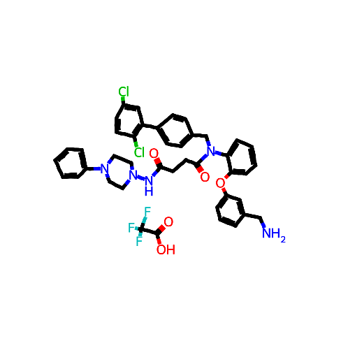 NCc1cccc(Oc2ccccc2N(Cc2ccc(-c3cc(Cl)ccc3Cl)cc2)C(=O)CCC(=O)NN2CCN(c3ccccc3)CC2)c1.O=C(O)C(F)(F)F